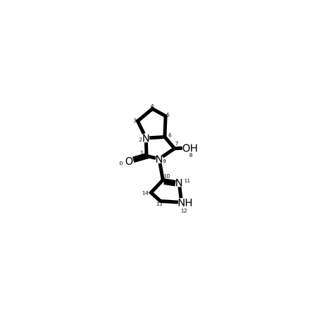 O=C1N2CCCC2C(O)N1C1=NNCC1